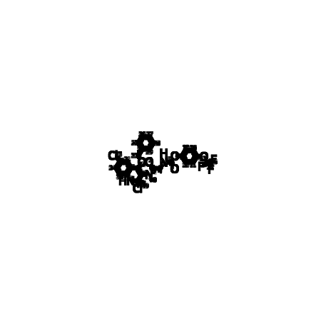 CN(C(=O)CNC(=O)Oc1ccc(OC(F)(F)F)cc1)C1=C(OCc2ccccc2)c2cc(Cl)ccc2NC1(C)Cl